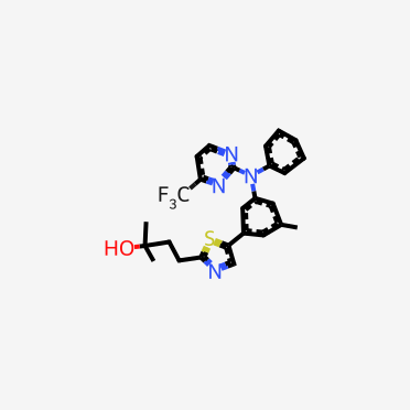 Cc1cc(-c2cnc(CCC(C)(C)O)s2)cc(N(c2ccccc2)c2nccc(C(F)(F)F)n2)c1